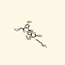 NCCCC[C@H](NC(=O)[C@H](CO)NC(=O)[C@@H]1C[C@@H](O)CN1C(=O)CN)C(=O)O